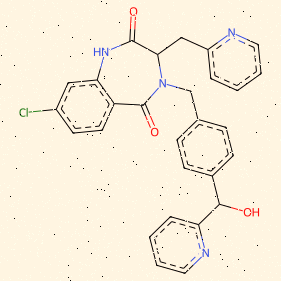 O=C1Nc2cc(Cl)ccc2C(=O)N(Cc2ccc(C(O)c3ccccn3)cc2)C1Cc1ccccn1